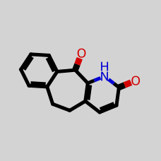 O=C1c2ccccc2CCc2ccc(=O)[nH]c21